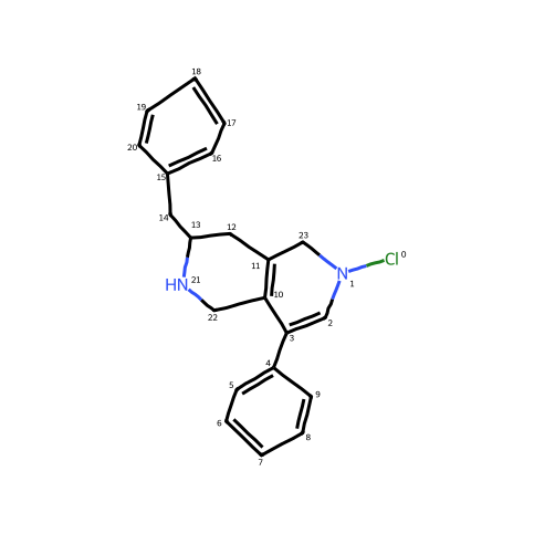 ClN1C=C(c2ccccc2)C2=C(CC(Cc3ccccc3)NC2)C1